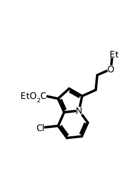 CCOCCc1cc(C(=O)OCC)c2c(Cl)cccn12